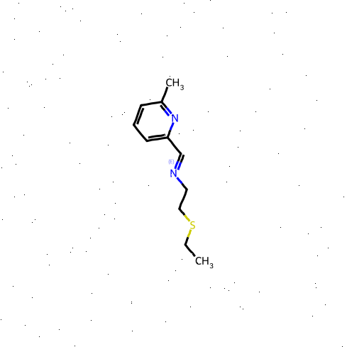 CCSCC/N=C/c1cccc(C)n1